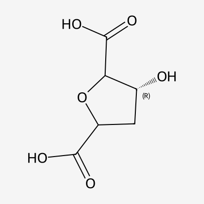 O=C(O)C1C[C@@H](O)C(C(=O)O)O1